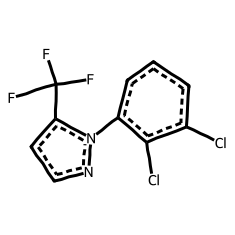 FC(F)(F)c1ccnn1-c1cccc(Cl)c1Cl